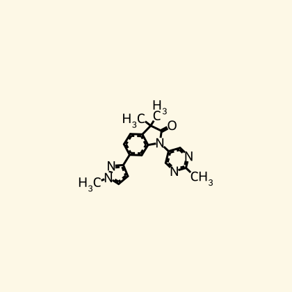 Cc1ncc(N2C(=O)C(C)(C)c3ccc(-c4ccn(C)n4)cc32)cn1